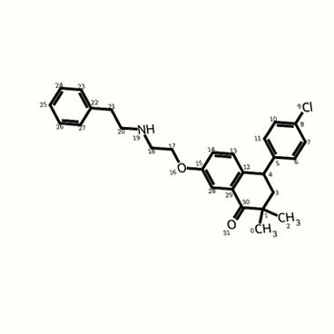 CC1(C)CC(c2ccc(Cl)cc2)c2ccc(OCCNCCc3ccccc3)cc2C1=O